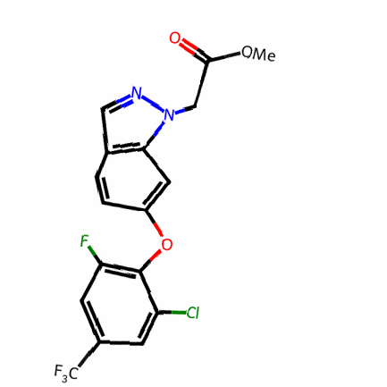 COC(=O)Cn1ncc2ccc(Oc3c(F)cc(C(F)(F)F)cc3Cl)cc21